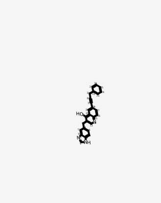 Oc1c(Cc2ccc3[nH]cnc3c2)cnc2ccc(C#CCc3ccccc3)cc12